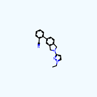 CCn1ccc(N2Cc3ccc(-c4ccccc4C#N)cc3C2)n1